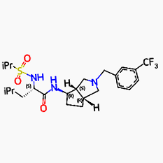 CC(C)C[C@H](NS(=O)(=O)C(C)C)C(=O)N[C@@H]1CC[C@H]2CN(Cc3cccc(C(F)(F)F)c3)C[C@H]21